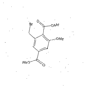 COC(=O)c1cc(CBr)c(C(=O)OC)c(OC)c1